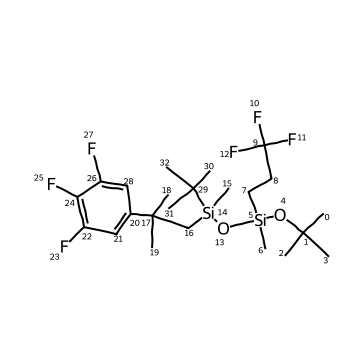 CC(C)(C)O[Si](C)(CCC(F)(F)F)O[Si](C)(CC(C)(C)c1cc(F)c(F)c(F)c1)C(C)(C)C